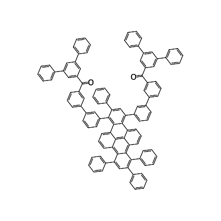 O=C(c1cccc(-c2cccc(-c3cc(-c4ccccc4)c(-c4cccc(-c5cccc(C(=O)c6cc(-c7ccccc7)cc(-c7ccccc7)c6)c5)c4)c4c5cccc6c7c(-c8ccccc8)cc(-c8ccccc8)c(-c8ccccc8)c7c7cccc(c34)c7c65)c2)c1)c1cc(-c2ccccc2)cc(-c2ccccc2)c1